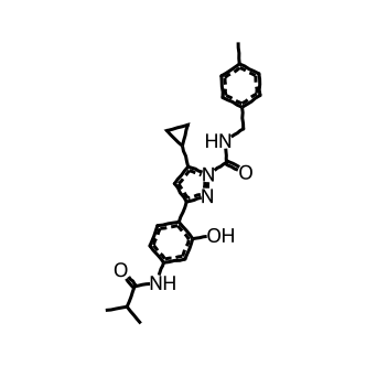 Cc1ccc(CNC(=O)n2nc(-c3ccc(NC(=O)C(C)C)cc3O)cc2C2CC2)cc1